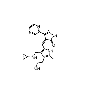 Cc1[nH]c(C=C2C(=O)NN=C2c2cnccn2)c(CNC2CC2)c1CCO